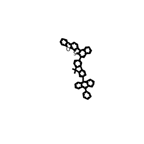 CC1(C)c2ccc(-c3cc4ccccc4c4c3sc3c4ccc4c5ccccc5oc43)cc2-c2ccc(-c3c4ccccc4c(-c4ccccc4)c4ccccc34)cc21